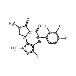 CN1C[C@H](c2c(Br)c(Cl)nn2C)[C@@H](C(=O)Nc2ccc(F)c(F)c2F)C1=O